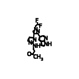 CC(=O)CCNc1nccc(-c2cn(CC(F)F)nc2-c2cnc3[nH]ccc3c2)n1